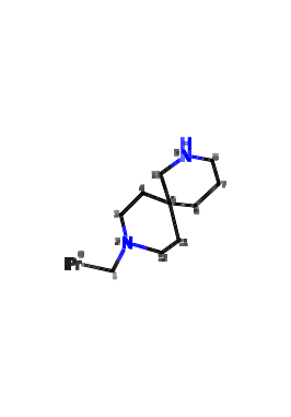 CC(C)CN1CCC2(CCCNC2)CC1